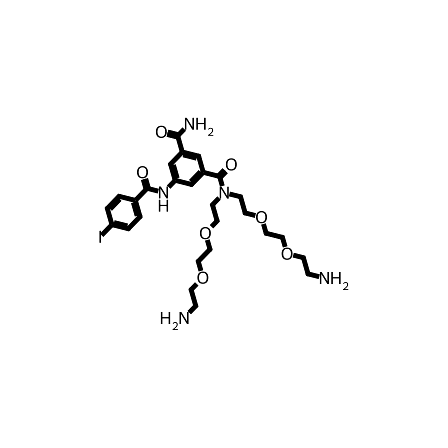 NCCOCCOCCN(CCOCCOCCN)C(=O)c1cc(NC(=O)c2ccc(I)cc2)cc(C(N)=O)c1